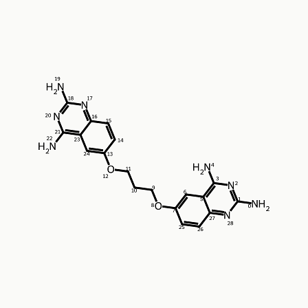 Nc1nc(N)c2cc(OCCCOc3ccc4nc(N)nc(N)c4c3)ccc2n1